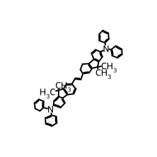 CC1(C)C2=C(CCC(/C=C/c3ccc4c(c3)C(C)(C)c3cc(N(C5=CC=CCC5)c5ccccc5)ccc3-4)=C2)c2ccc(N(c3ccccc3)c3ccccc3)cc21